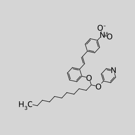 CCCCCCCCCCC(Oc1ccncc1)Oc1ccccc1C=Cc1ccc([N+](=O)[O-])cc1